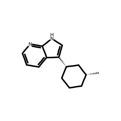 C[C@@H]1CCC[C@H](c2c[nH]c3ncccc23)C1